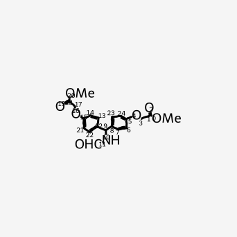 COC(=O)COc1ccc(C(NC=O)c2ccc(OCC(=O)OC)cc2)cc1